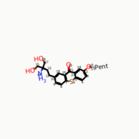 CCCCCOc1ccc2sc3ccc(CCC(N)(CO)CO)cc3c(=O)c2c1